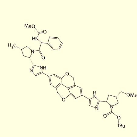 COC[C@H]1CC(c2ncc(-c3cc4c5c(c3)OCc3cc(-c6cnc([C@@H]7C[C@H](C)CN7C(=O)[C@H](NC(=O)OC)c7ccccc7)[nH]6)cc(c3-5)OC4)[nH]2)N(C(=O)OC(C)(C)C)C1